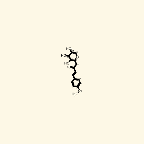 COc1ccc(/C=C/C(=O)CC2OCC(O)C(O)C2O)cc1